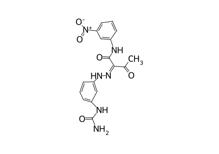 CC(=O)/C(=N/Nc1cccc(NC(N)=O)c1)C(=O)Nc1cccc([N+](=O)[O-])c1